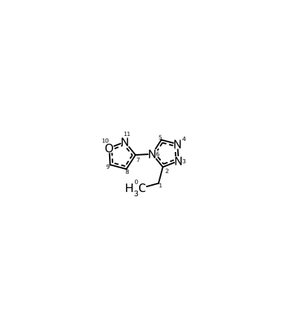 CCc1nncn1-c1ccon1